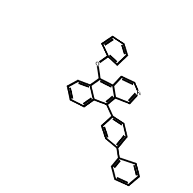 c1ccc(Oc2c3ccccc3c(-c3ccc(-c4ccccc4)cc3)c3cnccc23)cc1